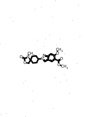 COC(=O)c1cc2cn(C3CCC4(CC3)COC(=O)N4C)nc2cc1OC